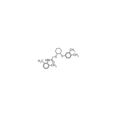 Cc1ccc(SC2CCCCC2SCC(=O)Nc2c(C)cccc2C)cc1C